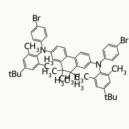 Cc1cc(C(C)(C)C)cc(C)c1N(c1ccc(Br)cc1)c1ccc2c(c1)C(C)(C)C(C)(C)c1cc(N(c3ccc(Br)cc3)c3c(C)cc(C(C)(C)C)cc3C)ccc1-2